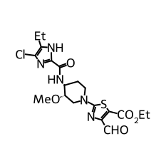 CCOC(=O)c1sc(N2CC[C@@H](NC(=O)c3nc(Cl)c(CC)[nH]3)[C@@H](OC)C2)nc1C=O